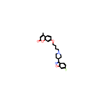 Cc1cc(=O)oc2cc(OCCCCN3CCC(c4noc5cc(F)ccc45)CC3)ccc12